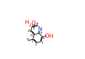 Cc1ccc(O)c2ncccc12.O